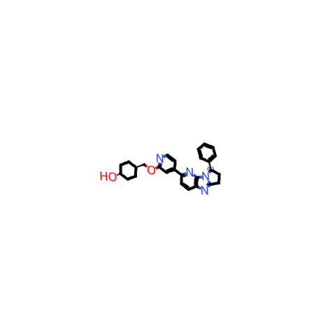 O[C@H]1CC[C@@H](COc2cc(-c3ccc4nc5n(c4n3)[C@@H](c3ccccc3)CC5)ccn2)CC1